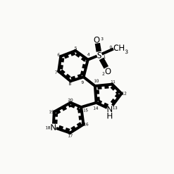 CS(=O)(=O)c1ccccc1-c1cc[nH]c1-c1ccncc1